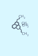 C=C.C=CCC1=Cc2cc(CC=C)cc3cccc(c23)C1